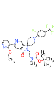 CCOc1ncccc1-c1ccc(C2(N(C=O)CCN(C)C(=O)OC(C)(C)C)CCN(c3ccc(C(F)(F)F)cc3F)CC2)cn1